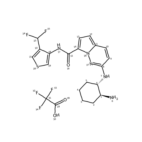 N[C@H]1CCCC[C@@H]1Nc1ccc2ccc(C(=O)Nc3cscc3C(F)F)n2n1.O=C(O)C(F)(F)F